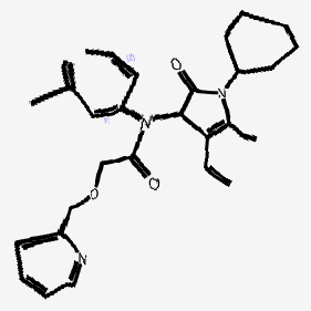 C=CC1=C(C)N(C2CCCCC2)C(=O)C1N(C(=O)COCc1ccccn1)C(/C=C\C)=C/C(=C)C